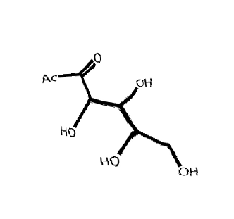 CC(=O)C(=O)C(O)C(O)C(O)CO